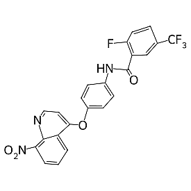 O=C(Nc1ccc(Oc2ccnc3c([N+](=O)[O-])cccc23)cc1)c1cc(C(F)(F)F)ccc1F